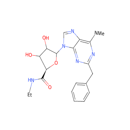 CCNC(=O)[C@@H]1OC(n2cnc3c(NC)nc(Cc4ccccc4)nc32)C(O)C1O